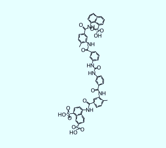 Cc1ccc(C(=O)Nc2ccc(S(=O)(=O)O)c3cc(S(=O)(=O)O)ccc23)cc1NC(=O)c1cccc(NC(=O)Nc2cccc(C(=O)Nc3cc(C(=O)Nc4cccc5cccc(S(=O)(=O)O)c45)ccc3C)c2)c1